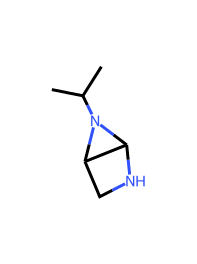 CC(C)N1C2CNC21